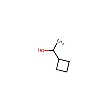 CC(O)C1C[CH]C1